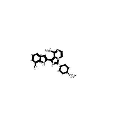 CNc1nccn2c1c(-c1cc3cccc(C(F)(F)F)c3[nH]1)nc2[C@H]1CC[C@H](C(=O)O)CC1